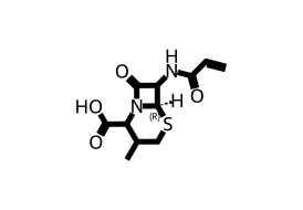 C=CC(=O)NC1C(=O)N2C(C(=O)O)C(C)CS[C@H]12